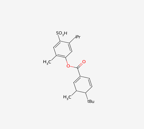 Cc1cc(S(=O)(=O)O)c(C(C)C)cc1OC(=O)C1=CC(C)C(C(C)(C)C)C=C1